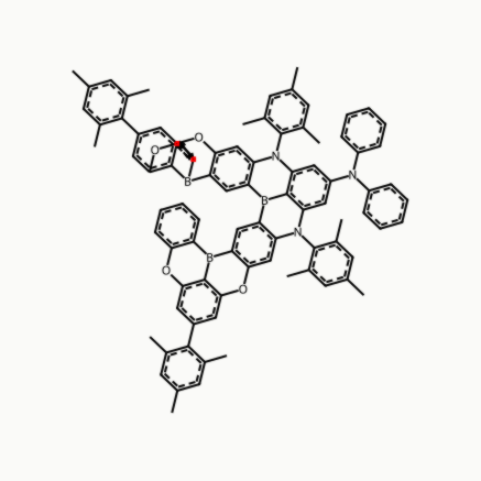 Cc1cc(C)c(-c2cc3c4c(c2)Oc2cc5c(cc2B4c2ccccc2O3)B2c3cc4c(cc3N(c3c(C)cc(C)cc3C)c3cc(N(c6ccccc6)c6ccccc6)cc(c32)N5c2c(C)cc(C)cc2C)Oc2cc(-c3c(C)cc(C)cc3C)cc3c2B4c2ccccc2O3)c(C)c1